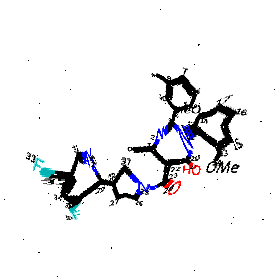 C=C1N=C(c2cccc(C)c2)N(c2c(OC)cccc2OC)C(O)=C1C(=O)N1CCC(c2ncc(F)cc2F)C1